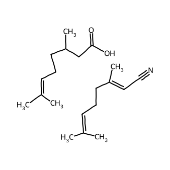 CC(C)=CCCC(C)=CC#N.CC(C)=CCCC(C)CC(=O)O